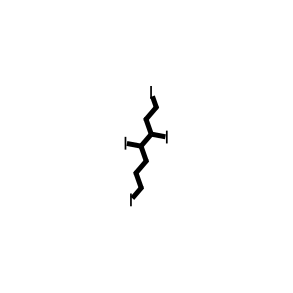 ICCCC(I)C(I)CCI